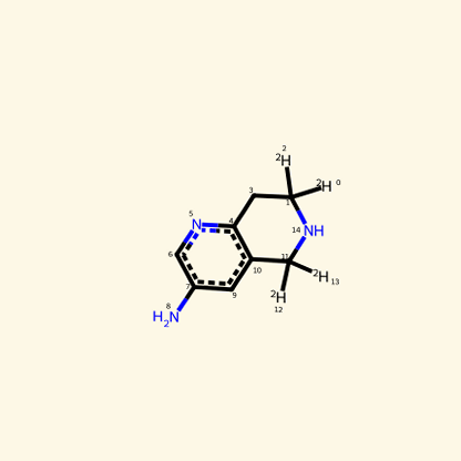 [2H]C1([2H])Cc2ncc(N)cc2C([2H])([2H])N1